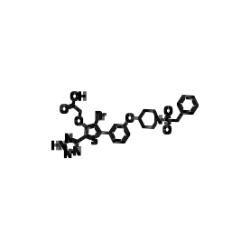 O=C(O)COc1c(-c2nn[nH]n2)sc(-c2cccc(OC3CCN(S(=O)(=O)Cc4ccccc4)CC3)c2)c1Br